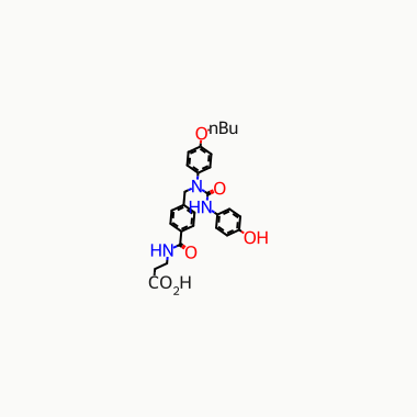 CCCCOc1ccc(N(Cc2ccc(C(=O)NCCC(=O)O)cc2)C(=O)Nc2ccc(O)cc2)cc1